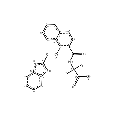 CC(C)(NC(=O)c1ccc2ccccc2c1OCc1nc2ccccc2s1)C(=O)O